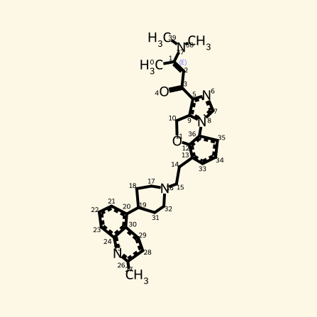 C/C(=C\C(=O)c1ncn2c1COc1c(CCN3CCC(c4cccc5nc(C)ccc45)CC3)cccc1-2)N(C)C